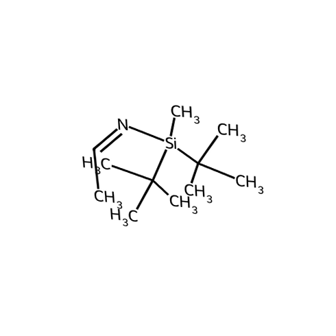 C/C=N\[Si](C)(C(C)(C)C)C(C)(C)C